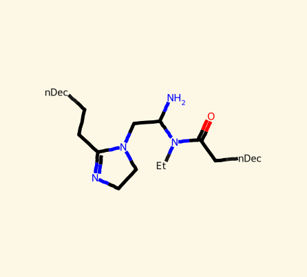 CCCCCCCCCCCCC1=NCCN1CC(N)N(CC)C(=O)CCCCCCCCCCC